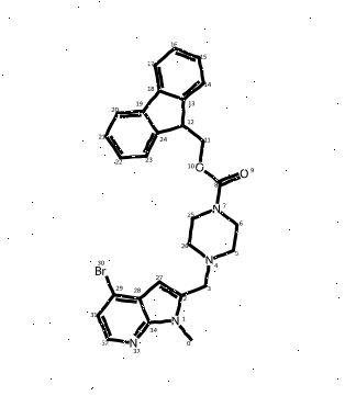 Cn1c(CN2CCN(C(=O)OCC3c4ccccc4-c4ccccc43)CC2)cc2c(Br)ccnc21